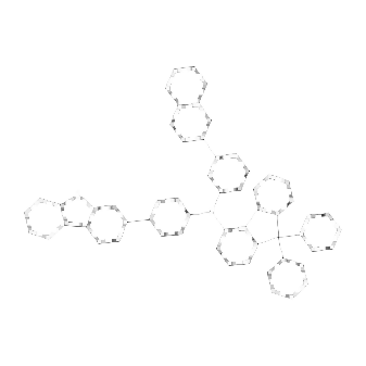 c1ccc(C2(c3ccccc3)c3ccccc3-c3c(N(c4ccc(-c5ccc6c(c5)sc5ccccc56)cc4)c4cccc(-c5ccc6ccccc6c5)c4)cccc32)cc1